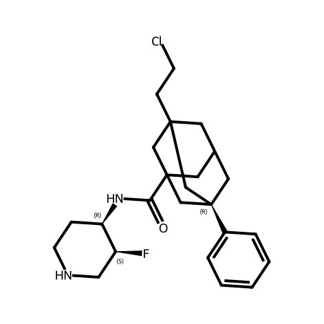 O=C(N[C@@H]1CCNC[C@@H]1F)C12CC3CC(CCCl)(C1)C[C@](c1ccccc1)(C3)C2